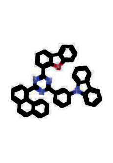 c1cc(-c2nc(-c3cccc4c3oc3ccccc34)nc(-c3cccc4ccc5ccccc5c34)n2)cc(-n2c3ccccc3c3ccccc32)c1